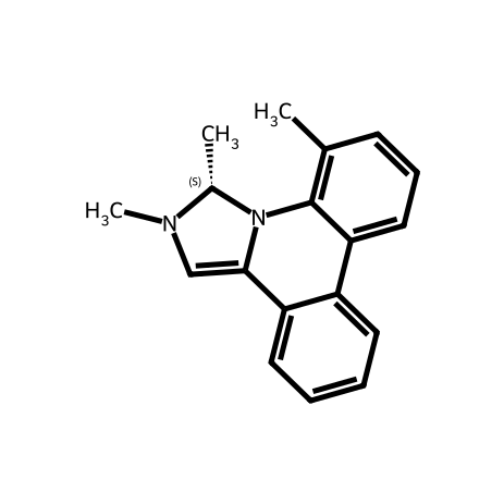 Cc1cccc2c1N1C(=CN(C)[C@@H]1C)c1ccccc1-2